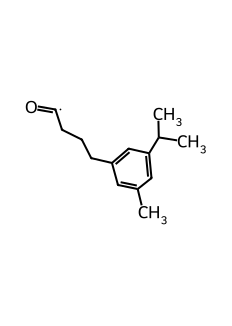 Cc1cc(CCC[C]=O)cc(C(C)C)c1